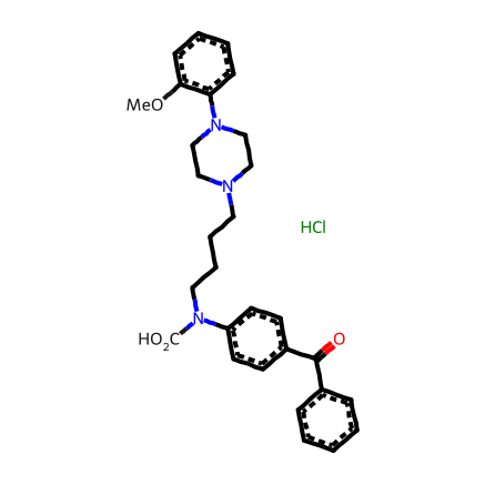 COc1ccccc1N1CCN(CCCCN(C(=O)O)c2ccc(C(=O)c3ccccc3)cc2)CC1.Cl